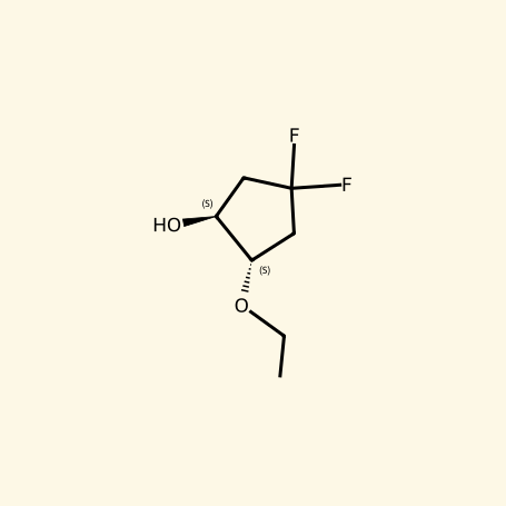 CCO[C@H]1CC(F)(F)C[C@@H]1O